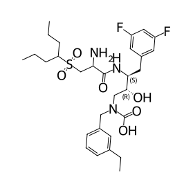 CCCC(CCC)S(=O)(=O)CC(N)C(=O)N[C@@H](Cc1cc(F)cc(F)c1)[C@H](O)CN(Cc1cccc(CC)c1)C(=O)O